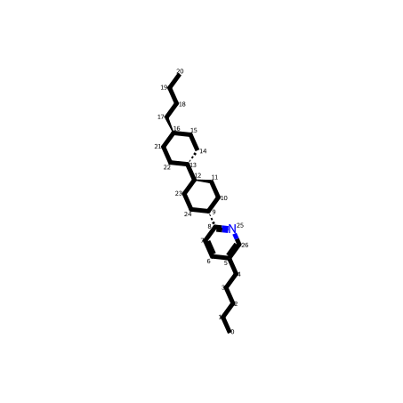 CCCCCc1ccc([C@H]2CC[C@H]([C@H]3CC[C@H](CCCC)CC3)CC2)nc1